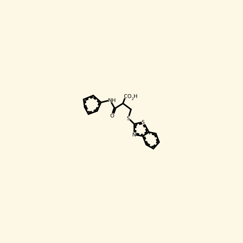 O=C(O)C(CSc1nc2ccccc2s1)C(=O)Nc1ccccc1